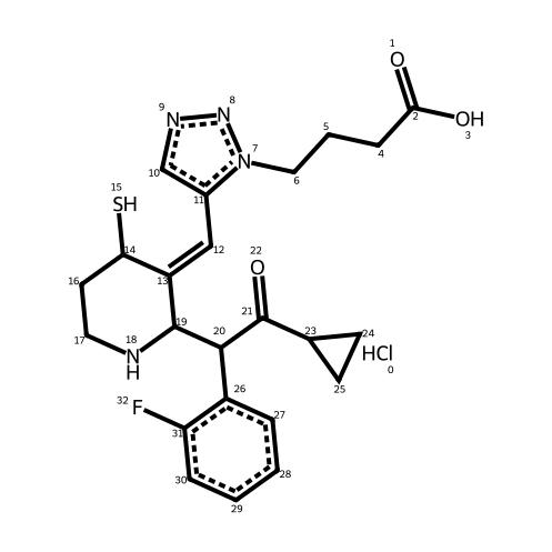 Cl.O=C(O)CCCn1nncc1/C=C1\C(S)CCNC1C(C(=O)C1CC1)c1ccccc1F